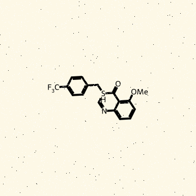 COc1cccc2c1C(=O)[SH](Cc1ccc(C(F)(F)F)cc1)C=N2